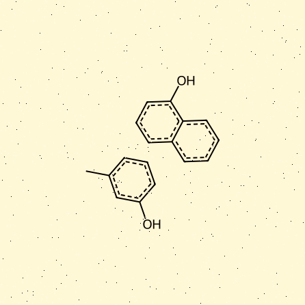 Cc1cccc(O)c1.Oc1cccc2ccccc12